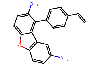 C=Cc1ccc(-c2c(N)ccc3oc4ccc(N)cc4c23)cc1